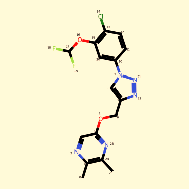 Cc1ncc(OCc2cn(-c3ccc(Cl)c(OC(F)F)c3)nn2)nc1C